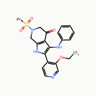 CC(C)S(=O)(=O)N1CC(=O)c2c([nH]c(-c3ccncc3OCC(F)(F)F)c2Nc2ccccc2)C1